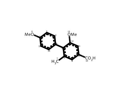 COc1ccc(-c2c(C)cc(C(=O)O)cc2OC)cc1